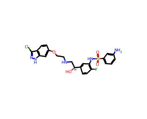 Nc1cccc(S(=O)(=O)Nc2cc([C@@H](O)CNCCOc3ccc4c(Cl)n[nH]c4c3)ccc2F)c1